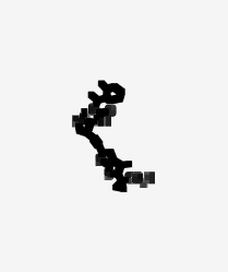 Cc1ccccc1C(C)OC(=O)Nc1c(C#Cc2cc3c(C)c(C4(C(=O)O)CC4)sc3s2)cnn1C